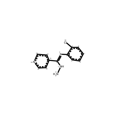 NN/C(=N\c1ccccc1Cl)c1ccncc1